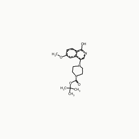 COc1ccc2c(O)ncc(N3CCN(C(=O)OC(C)(C)C)CC3)c2c1